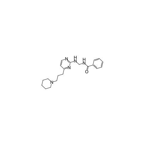 O=C(NCNc1nccc(CCCN2CCCCC2)n1)c1ccccc1